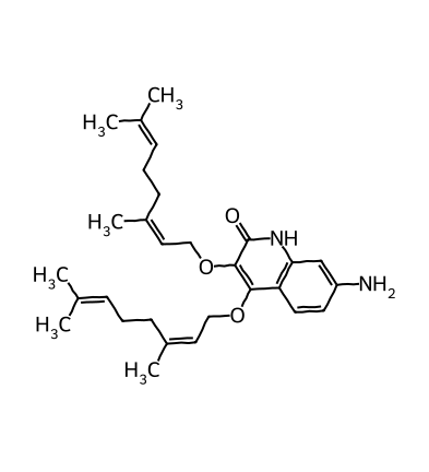 CC(C)=CCCC(C)=CCOc1c(OCC=C(C)CCC=C(C)C)c2ccc(N)cc2[nH]c1=O